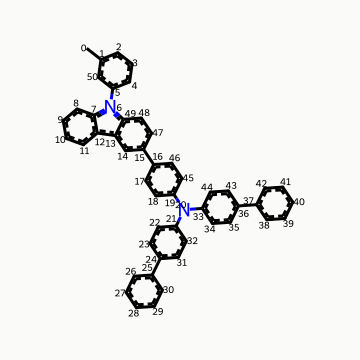 Cc1cccc(-n2c3ccccc3c3cc(-c4ccc(N(c5ccc(-c6ccccc6)cc5)c5ccc(-c6ccccc6)cc5)cc4)ccc32)c1